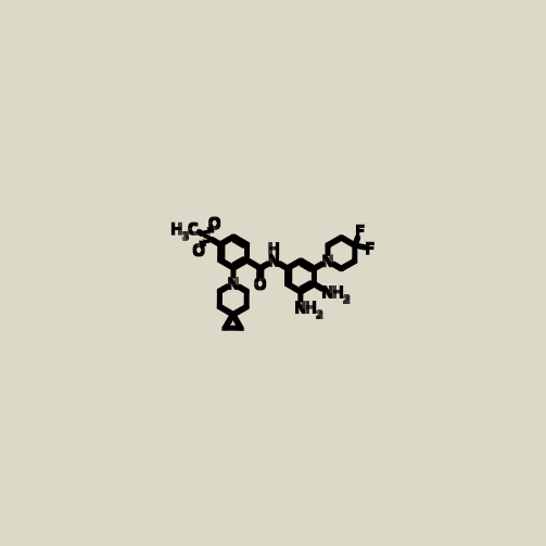 CS(=O)(=O)c1ccc(C(=O)Nc2cc(N)c(N)c(N3CCC(F)(F)CC3)c2)c(N2CCC3(CC2)CC3)c1